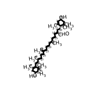 CC1=C[C@H](O)CC(C)(C)[C@H]1CC/C(C=O)=C/C=C/C(C)=C/C=C/C=C(C)/C=C/C=C(C)/C=C/C1=C(C)C[C@@H](O)CC1(C)C